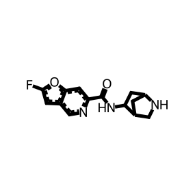 O=C(NC1CC2CC1CN2)c1cc2oc(F)cc2cn1